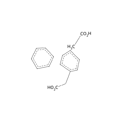 CC(=O)O.O=C(O)Cc1ccccc1.c1ccccc1